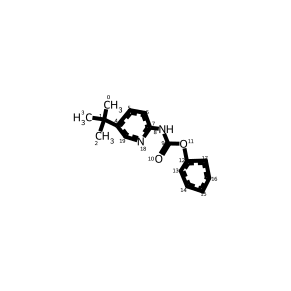 CC(C)(C)c1ccc(NC(=O)Oc2ccccc2)nc1